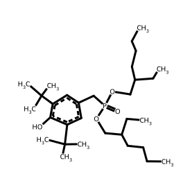 CCCCC(CC)COP(=O)(Cc1cc(C(C)(C)C)c(O)c(C(C)(C)C)c1)OCC(CC)CCCC